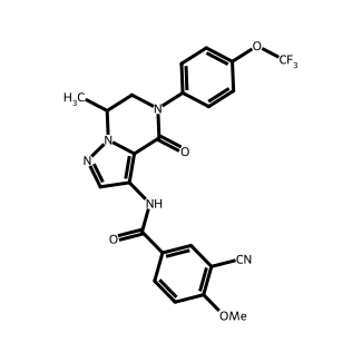 COc1ccc(C(=O)Nc2cnn3c2C(=O)N(c2ccc(OC(F)(F)F)cc2)CC3C)cc1C#N